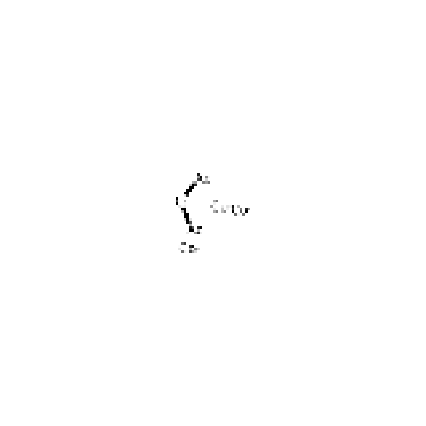 CC(=O)OC(C)=O.[Co].[Co].[Co]